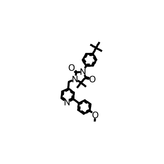 COc1ccc(-c2cc(CN3C(=O)N(c4ccc(C(C)(C)C)cc4)C(=O)C3(C)C)ccn2)cc1